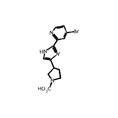 O=C(O)N1CCC(c2c[nH]c(-c3cc(Br)ccn3)n2)C1